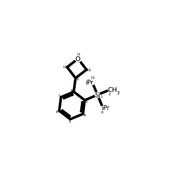 CC(C)[Si](C)(c1ccccc1C1COC1)C(C)C